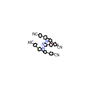 N#Cc1ccc(-c2ccc3c4ccc(-c5ccc(C#N)cc5)cc4n(-c4cc(-c5ccc(C#N)cc5)c(-n5c6cc(-c7ccc(C#N)cc7)ccc6c6ccc(-c7ccc(C#N)cc7)cc65)cn4)c3c2)cc1